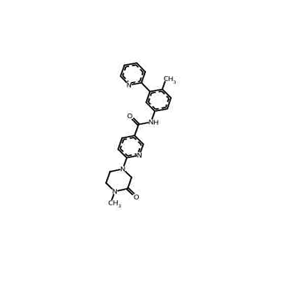 Cc1ccc(NC(=O)c2ccc(N3CCN(C)C(=O)C3)nc2)cc1-c1ccccn1